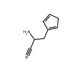 N#CC(N)CC1=CCC=C1